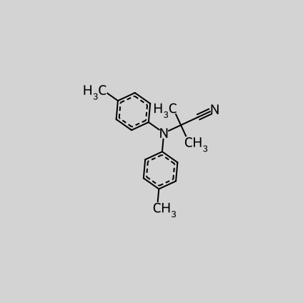 Cc1ccc(N(c2ccc(C)cc2)C(C)(C)C#N)cc1